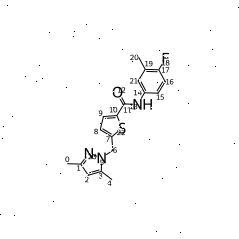 Cc1cc(C)n(Cc2ccc(C(=O)Nc3ccc(F)c(C)c3)s2)n1